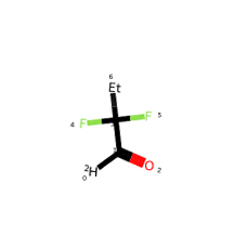 [2H]C(=O)C(F)(F)CC